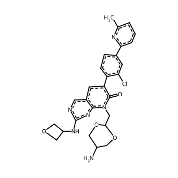 Cc1cccc(-c2ccc(-c3cc4cnc(NC5COC5)nc4n(CC4OCC(N)CO4)c3=O)c(Cl)c2)n1